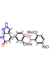 COc1ccc([N+](=O)[O-])cc1COc1ccc(-c2cc(=O)[nH]c3n[nH]cc23)cc1OC